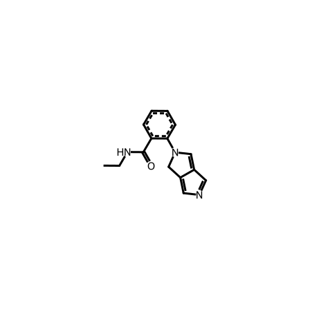 CCNC(=O)c1ccccc1N1C=C2C=NC=C2C1